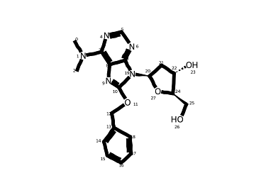 CN(C)c1ncnc2c1nc(OCc1ccccc1)n2[C@H]1C[C@H](O)[C@@H](CO)O1